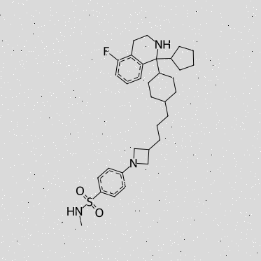 CNS(=O)(=O)c1ccc(N2CC(CCCC3CCC(C4(C5CCCC5)NCCc5c(F)cccc54)CC3)C2)cc1